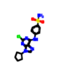 NS(=O)(=O)c1ccc(Nc2nc(Cl)nc3c2ncn3C2CCCC2)cc1